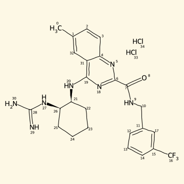 Cc1ccc2nc(C(=O)NCc3cccc(C(F)(F)F)c3)nc(N[C@H]3CCCC[C@H]3NC(=N)N)c2c1.Cl.Cl